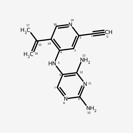 C#Cc1cc(Nc2cnc(N)nc2N)c(C(=C)C)cn1